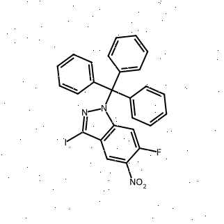 O=[N+]([O-])c1cc2c(I)nn(C(c3ccccc3)(c3ccccc3)c3ccccc3)c2cc1F